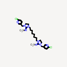 O=[N+]([O-])N=C1N(CCCCCCCCN2CCN(Cc3ccc(Cl)nc3)C2=N[N+](=O)[O-])CCN1Cc1ccc(Cl)nc1